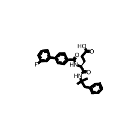 CC(C)(Cc1ccccc1)NC(=O)[C@H](CCC(=O)O)NC(=O)c1ccc(-c2cccc(F)c2)cc1